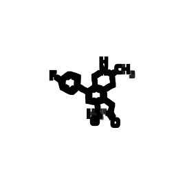 CC1Cc2c(c(-c3ccc(F)cc3)cc3c2CC(=O)[NH+]3[O-])CN1